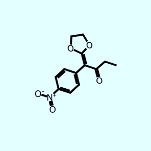 CCC(=O)C(=C1OCCO1)c1ccc([N+](=O)[O-])cc1